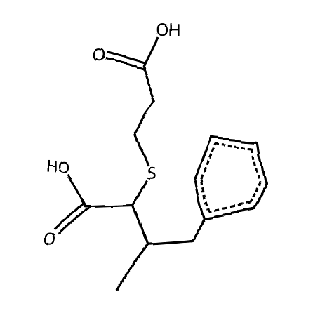 CC(Cc1ccccc1)C(SCCC(=O)O)C(=O)O